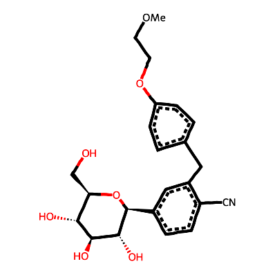 COCCOc1ccc(Cc2cc([C@@H]3O[C@H](CO)[C@@H](O)[C@H](O)[C@H]3O)ccc2C#N)cc1